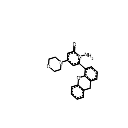 Nn1c(-c2cccc3c2Oc2ccccc2C3)cc(N2CCOCC2)cc1=O